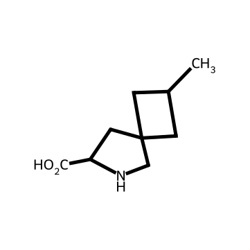 CC1CC2(CNC(C(=O)O)C2)C1